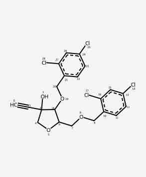 C#CC1(O)COC(COCc2ccc(Cl)cc2Cl)C1OCc1ccc(Cl)cc1Cl